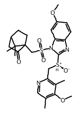 COc1ccc2nc([S@@+]([O-])Cc3ncc(C)c(OC)c3C)n(S(=O)(=O)CC34CCC(CC3=O)C4(C)C)c2c1